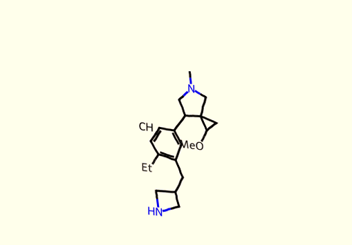 C.CCc1ccc(C2CN(C)CC23CC3OC)cc1CC1CNC1